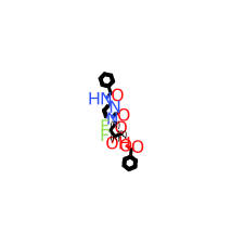 O=C(Nc1ccn([C@@H]2O[C@H](COC(=O)c3ccccc3)[C@@H](O)C2(F)F)c(=O)n1)c1ccccc1